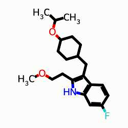 COCCc1[nH]c2cc(F)ccc2c1CC1CCC(OC(C)C)CC1